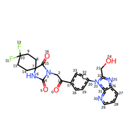 O=C(CN1C(=O)NC2(CCC(F)(F)CC2)C1=O)c1ccc(-n2c(CO)nc3cccnc32)cc1